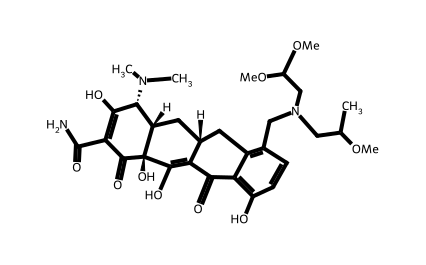 COC(C)CN(Cc1ccc(O)c2c1C[C@H]1C[C@H]3[C@@H](N(C)C)C(O)=C(C(N)=O)C(=O)[C@@]3(O)C(O)=C1C2=O)CC(OC)OC